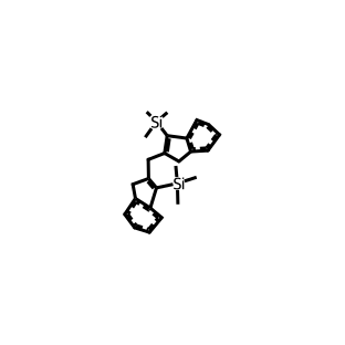 C[Si](C)(C)C1=C(CC2=C([Si](C)(C)C)c3ccccc3C2)Cc2ccccc21